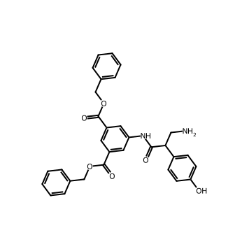 NCC(C(=O)Nc1cc(C(=O)OCc2ccccc2)cc(C(=O)OCc2ccccc2)c1)c1ccc(O)cc1